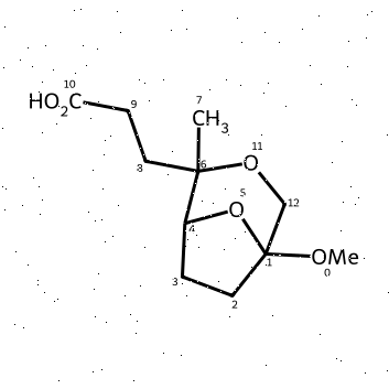 COC12CCC(O1)C(C)(CCC(=O)O)OC2